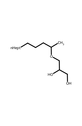 CCCCCCCCCCC(C)OCC(O)CO